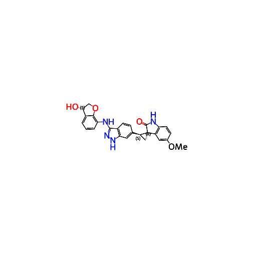 COc1ccc2c(c1)[C@]1(C[C@H]1c1ccc3c(Nc4cccc5c4OC[C@H]5O)n[nH]c3c1)C(=O)N2